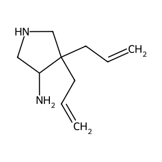 C=CCC1(CC=C)CNCC1N